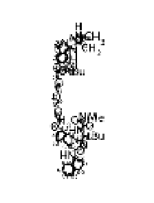 CN[C@@H](C)C(=O)NC(C(=O)N1Cc2cc(OCCOCCOCCOCCOc3cc4ncnc(Nc5n[nH]c(C)c5C)c4cc3S(=O)(=O)C(C)(C)C)ccc2C[C@H]1C(=O)N[C@@H]1CCCc2ccccc21)C(C)(C)C